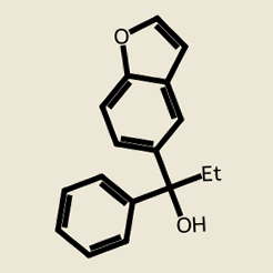 CCC(O)(c1ccccc1)c1ccc2occc2c1